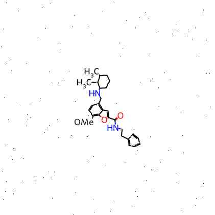 COc1ccc(CNC2CCCC(C)C2C)c2cc(C(=O)NCCc3ccccc3)oc12